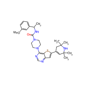 COc1cccc(C(C)NC(=O)N2CCN(c3ncnc4cc(C5=CC(C)(C)NC(C)(C)C5)sc34)CC2)c1